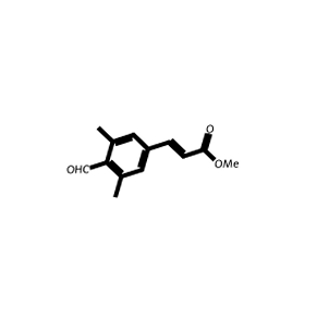 COC(=O)C=Cc1cc(C)c(C=O)c(C)c1